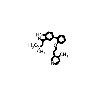 CC1C=CN=CC1CCOc1ccccc1-c1ccc2[nH]nc(CN(C)C)c2c1